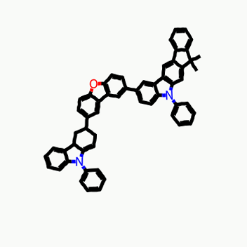 CC1(C)c2ccccc2-c2cc3c4cc(-c5ccc6oc7ccc(C8CC=C9C(C8)c8ccccc8N9c8ccccc8)cc7c6c5)ccc4n(-c4ccccc4)c3cc21